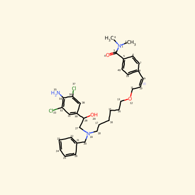 CN(C)C(=O)c1ccc(/C=C\COCCCCCCN(Cc2ccccc2)CC(O)c2cc(Cl)c(N)c(Cl)c2)cc1